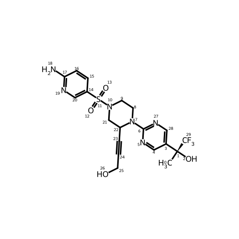 C[C@@](O)(c1cnc(N2CCN(S(=O)(=O)c3ccc(N)nc3)CC2C#CCO)nc1)C(F)(F)F